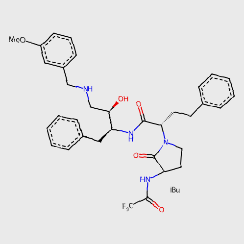 CC[C@H](C)C1(NC(=O)C(F)(F)F)CCN([C@@H](CCc2ccccc2)C(=O)N[C@@H](Cc2ccccc2)[C@H](O)CNCc2cccc(OC)c2)C1=O